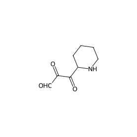 O=CC(=O)C(=O)C1CCCCN1